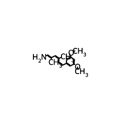 COc1cc(\C=C/C(C)=C\C(C)=C\N)cc(OC)c1